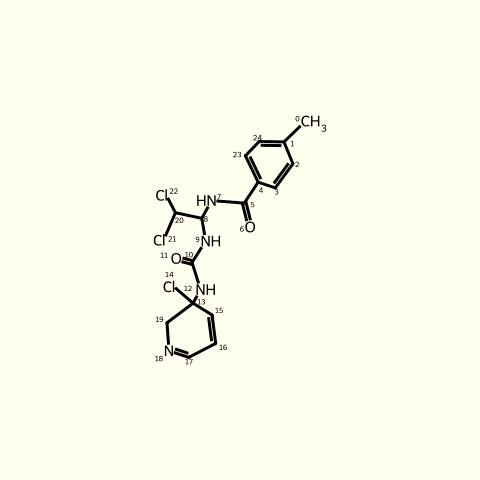 Cc1ccc(C(=O)NC(NC(=O)NC2(Cl)C=CC=NC2)C(Cl)Cl)cc1